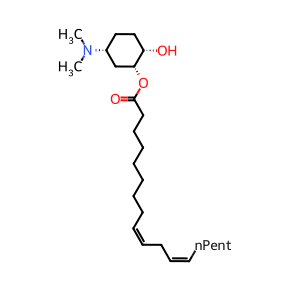 CCCCC/C=C\C/C=C\CCCCCCCC(=O)O[C@@H]1C[C@H](N(C)C)CC[C@@H]1O